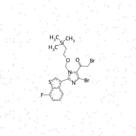 C[Si](C)(C)CCOCn1c(-c2csc3c(F)cccc23)nc(Br)c1C(=O)CBr